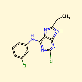 CCc1nc2c(Nc3cccc(Cl)c3)nc(Cl)nc2[nH]1